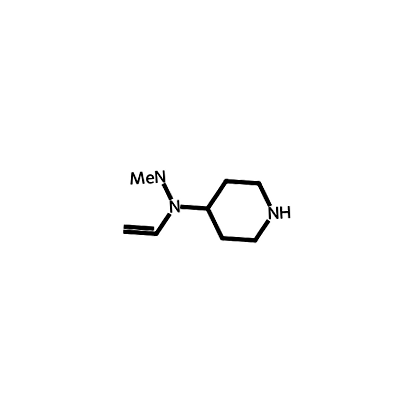 C=CN(NC)C1CCNCC1